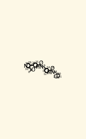 CC1Oc2cc(C(=O)NCc3cccc(C(=O)NC[C@H]4CCCO4)c3)ccc2-c2ccncc21